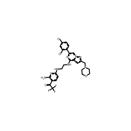 Nc1nc(NCCNc2nc(-c3ccc(Cl)cc3Cl)cn3nc(CN4CCOCC4)cc23)ccc1C(=O)C(F)(F)F